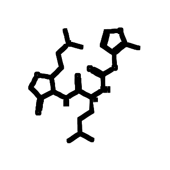 Cc1occc1OC(=O)N[C@@H](CCC(C)C)C(=O)NC1C(=O)COC1CCN(C)C